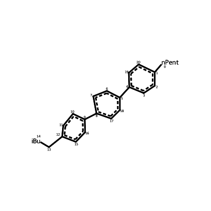 CCCCCc1ccc(-c2ccc(-c3ccc(CC(C)CC)cc3)cc2)cc1